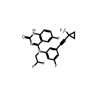 O=c1nc(N(CC(F)F)c2cc(F)cc(C#CC3(C(F)(F)F)CC3)c2)c2cc(F)ccc2[nH]1